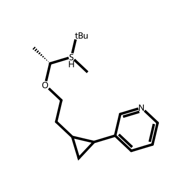 C[C@@H](OCCC1CC1c1cccnc1)[SH](C)C(C)(C)C